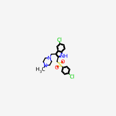 CN1CCN(Cc2c(CS(=O)(=O)c3ccc(Cl)cc3)[nH]c3ccc(Cl)cc23)CC1